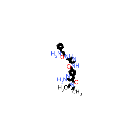 CCCN(CCC)C(=O)C1=Cc2ccc(C(=O)Nc3cncc(CNC(=O)CC(N)c4ccccc4)c3)cc2N=C(N)C1